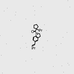 CC(C)/C=C/c1ccc2c(c1)CCN2C(=O)C1(C(C)C)CCCC1